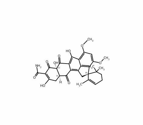 COc1cc(OC)c2c(O)c3c(c4c2c1[C@@]1(C4)C(C)=CCCC1(C)C)C(=O)[C@H]1CC(O)=C(C(N)=O)C(=O)[C@@]1(O)C3=O